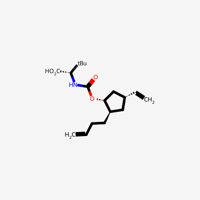 C=CCC[C@@H]1C[C@@H](C=C)C[C@H]1OC(=O)N[C@H](C(=O)O)C(C)(C)C